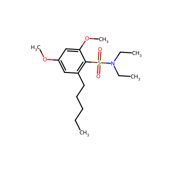 CCCCCc1cc(OC)cc(OC)c1S(=O)(=O)N(CC)CC